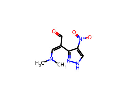 CN(C)/C=C(/C=O)c1n[nH]cc1[N+](=O)[O-]